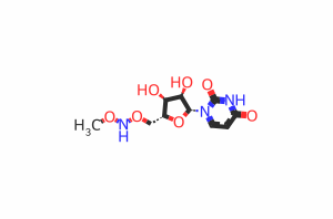 CONOC[C@H]1O[C@@H](n2ccc(=O)[nH]c2=O)[C@H](O)[C@@H]1O